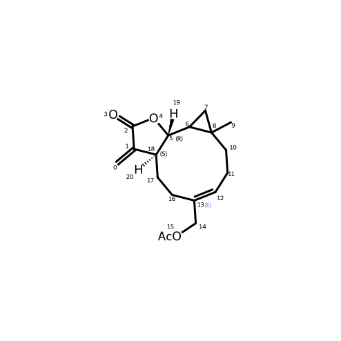 C=C1C(=O)O[C@@H]2C3CC3(C)CC/C=C(/COC(C)=O)CC[C@@H]12